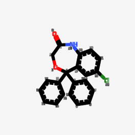 O=C1COC(c2ccccc2)(c2ccccc2)c2cc(Cl)ccc2N1